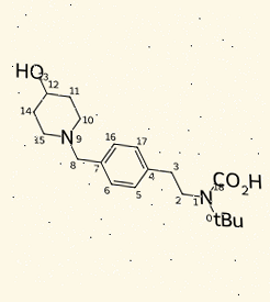 CC(C)(C)N(CCc1ccc(CN2CCC(O)CC2)cc1)C(=O)O